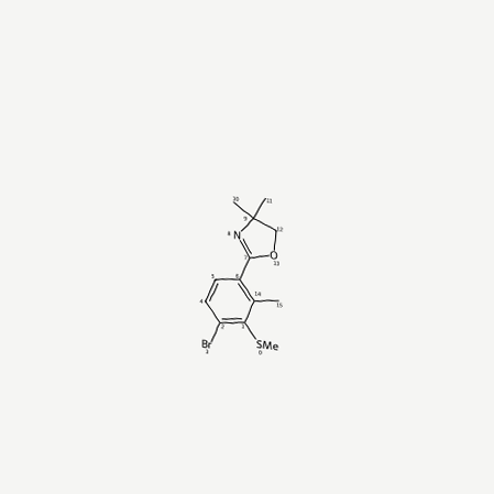 CSc1c(Br)ccc(C2=NC(C)(C)CO2)c1C